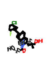 CCOC(=O)C(C)(CO)C[C@@H](Cc1ccc(-c2cc(Cl)ccc2F)cc1)NC(=O)C(=O)O